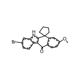 COc1ccc2c(c1)C1(CCCC1)c1[nH]c3cc(Br)ccc3c1C2=O